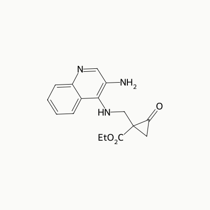 CCOC(=O)C1(CNc2c(N)cnc3ccccc23)CC1=O